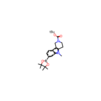 Cn1c2c(c3ccc(B4OC(C)(C)C(C)(C)O4)cc31)CN(C(=O)OC(C)(C)C)CC2